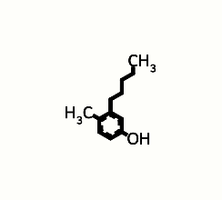 CCCCCc1cc(O)ccc1C